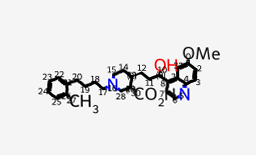 COc1ccc2nccc([C@@H](O)CC[C@@H]3CCN(CCCCc4ccccc4C)C[C@@H]3C(=O)O)c2c1